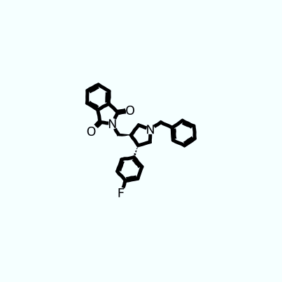 O=C1c2ccccc2C(=O)N1C[C@H]1CN(Cc2ccccc2)C[C@@H]1c1ccc(F)cc1